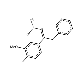 COc1cc(C(Cc2ccccc2)=N[S@+]([O-])C(C)(C)C)ccc1F